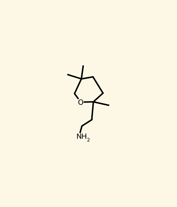 CC1(C)CCC(C)(CCN)OC1